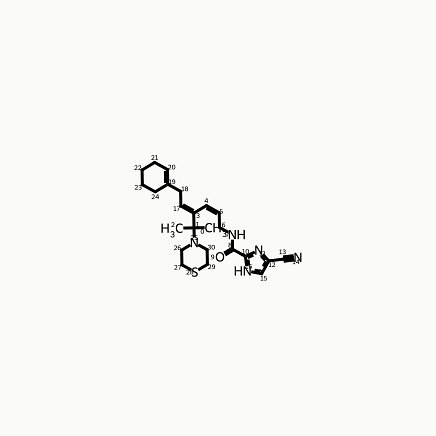 CC(C)(C(/C=C\CNC(=O)c1nc(C#N)c[nH]1)=C/CC1=CCCCC1)N1CCSCC1